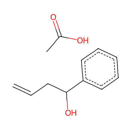 C=CCC(O)c1ccccc1.CC(=O)O